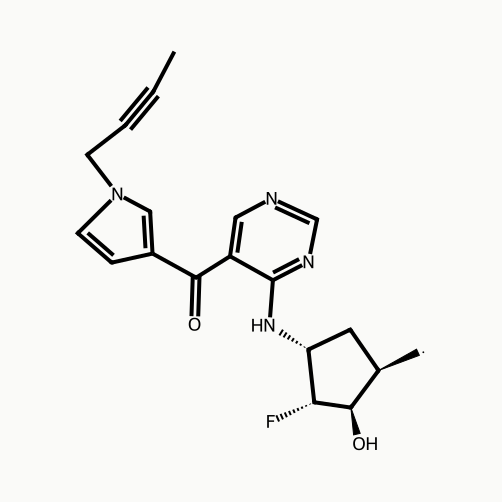 [CH2][C@@H]1C[C@@H](Nc2ncncc2C(=O)c2ccn(CC#CC)c2)[C@@H](F)[C@@H]1O